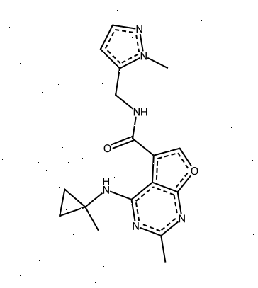 Cc1nc(NC2(C)CC2)c2c(C(=O)NCc3ccnn3C)coc2n1